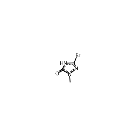 Cn1nc(Br)[nH]c1=O